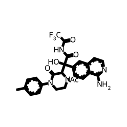 CC(=O)N1CCN(c2ccc(C)cc2)C(=O)C1C(O)(C(=O)NC(=O)C(F)(F)F)c1ccc2c(N)nccc2c1